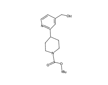 CC(C)(C)OC(=O)N1CCC(c2cc(CO)ccn2)CC1